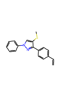 C=Cc1ccc(-c2nn(-c3ccccc3)cc2SC)cc1